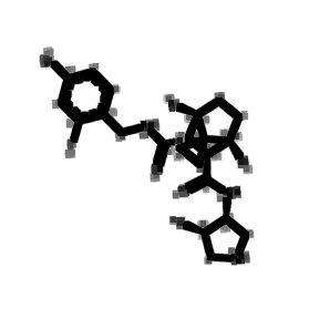 O=C(N[C@H]1CNC[C@H]1F)[C@H]1[C@H](C(=O)NCc2ccc(Br)cc2F)[C@@H]2CC[C@H]1C21CC1